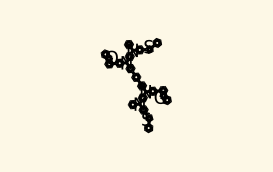 c1ccc(-c2ccc(-c3ccc(N(c4ccccc4)c4ccc(N(c5ccc(-c6ccc(-c7ccc(N(c8ccc(-c9cccc%10c9oc9ccccc9%10)cc8)c8ccc(N(c9ccccc9)c9ccc(-c%10ccc(-c%11ccccc%11)s%10)cc9)cc8)cc7)cc6)cc5)c5ccc(-c6cccc7c6oc6ccccc67)cc5)cc4)cc3)s2)cc1